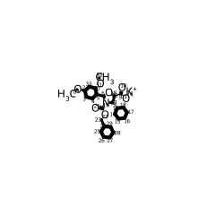 COc1ccc(C2O[C@@H](C(=O)[O-])[C@H](c3ccccc3)N2C(=O)OCc2ccccc2)c(OC)c1.[K+]